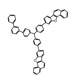 c1ccc(-c2cccc(-c3ccc(C(c4ccc(-c5ccc6c(c5)oc5c7ccccc7ccc65)cc4)c4ccc(-c5ccc6c(c5)oc5c7ccccc7ccc65)cc4)cc3)c2)cc1